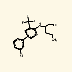 CCCC(CC)Nc1ncc(-c2cccc(Cl)c2)cc1C(F)(F)F